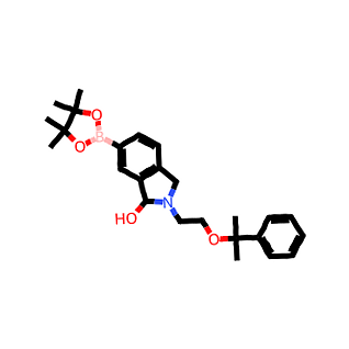 CC(C)(OCCN1Cc2ccc(B3OC(C)(C)C(C)(C)O3)cc2C1O)c1ccccc1